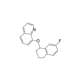 Fc1ccc2c(c1)C(Oc1cccc3cccnc13)CCC2